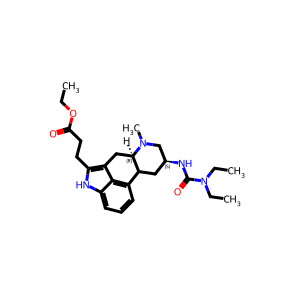 CCOC(=O)CCc1[nH]c2cccc3c2c1C[C@@H]1C3C[C@H](NC(=O)N(CC)CC)CN1C